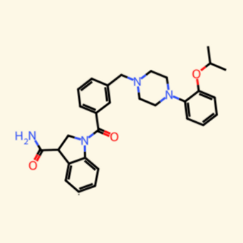 CC(C)Oc1ccccc1N1CCN(Cc2cccc(C(=O)N3CC(C(N)=O)c4c[c]ccc43)c2)CC1